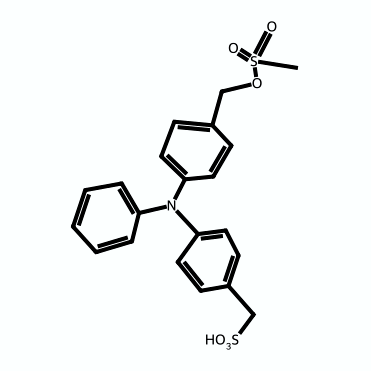 CS(=O)(=O)OCc1ccc(N(c2ccccc2)c2ccc(CS(=O)(=O)O)cc2)cc1